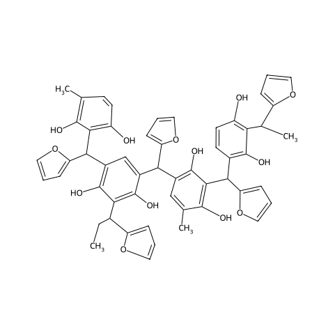 CCC(c1ccco1)c1c(O)c(C(c2ccco2)c2cc(C)c(O)c(C(c3ccco3)c3ccc(O)c(C(C)c4ccco4)c3O)c2O)cc(C(c2ccco2)c2c(O)ccc(C)c2O)c1O